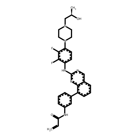 C=CC(=O)Nc1cccc(-c2cccc3cnc(Nc4ccc(N5CCN(C[C@@H](C)O)CC5)c(F)c4F)nc23)c1